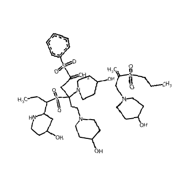 C=C(CC(CCN1CCC(O)CC1)(N1CCC(O)CC1)S(=O)(=O)C(CC)C1CC(O)CCN1)S(=O)(=O)c1ccccc1.C=C(CN1CCC(O)CC1)S(=O)(=O)CCC